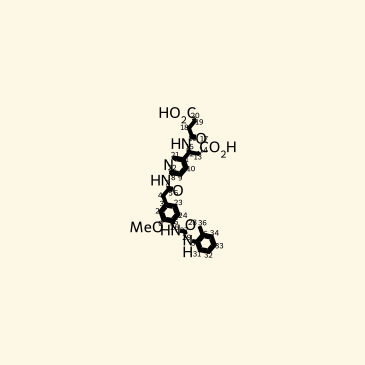 COc1cc(CC(=O)Nc2ccc(C(CC(=O)O)NC(=O)CCC(=O)O)cn2)ccc1NC(=O)Nc1ccccc1C